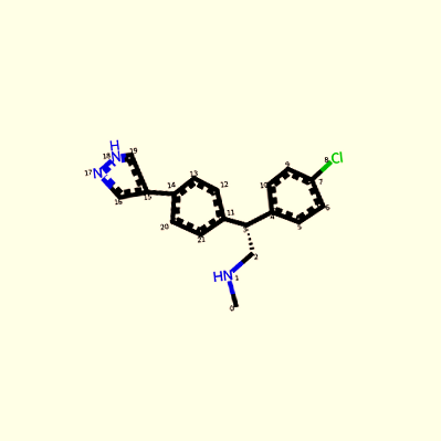 CNC[C@@H](c1ccc(Cl)cc1)c1ccc(-c2cn[nH]c2)cc1